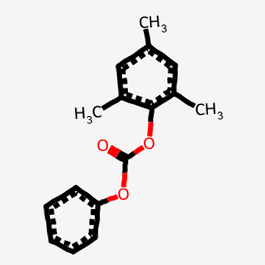 Cc1cc(C)c(OC(=O)Oc2ccccc2)c(C)c1